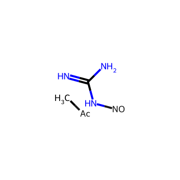 CC(C)=O.N=C(N)NN=O